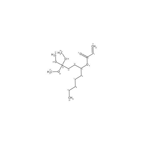 C=CC(=O)OC(CCCCC)CC[Si](OC)(OC)OC